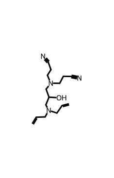 C=CCN(CC=C)CC(O)CN(CCC#N)CCC#N